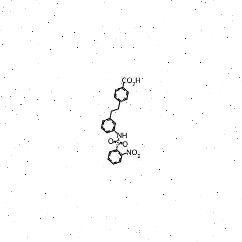 O=C(O)c1ccc(CCc2cccc(NS(=O)(=O)c3ccccc3[N+](=O)[O-])c2)cc1